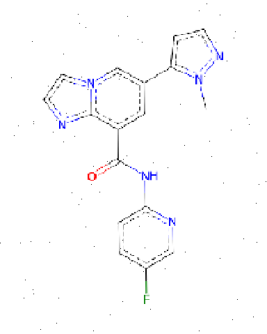 Cn1nccc1-c1cc(C(=O)Nc2ccc(F)cn2)c2nccn2c1